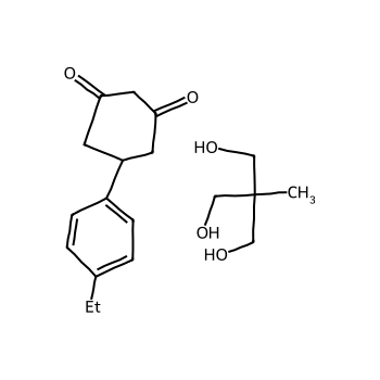 CC(CO)(CO)CO.CCc1ccc(C2CC(=O)CC(=O)C2)cc1